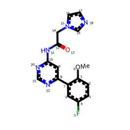 COc1ccc(F)cc1-c1cc(NC(=O)Cn2ccnc2)ncn1